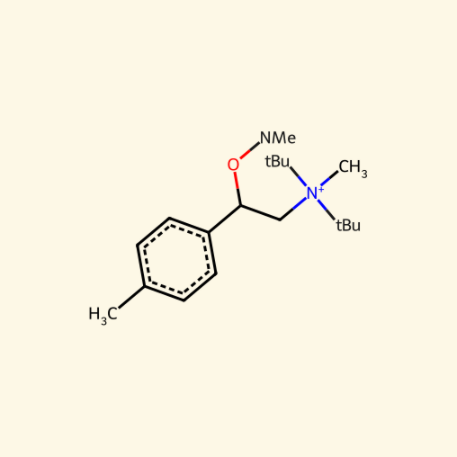 CNOC(C[N+](C)(C(C)(C)C)C(C)(C)C)c1ccc(C)cc1